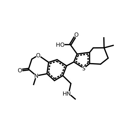 CNCc1cc2c(cc1-c1sc3c(c1C(=O)O)CC(C)(C)CC3)OCC(=O)N2C